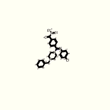 CCN(CC)C(=O)c1ccc(/C(=N/c2ccc(Cl)cc2)N2CCN(Cc3ccccc3)CC2)cc1